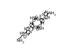 NCCCC(=O)Nc1ncnc2c1ncn2[C@@H]1O[C@@H]2CO[P@@](=O)(S)OC3[C@@H](F)[C@H](n4cnc5c(N)ncnc54)O[C@@H]3CO[P@@](=O)(S)OC2[C@H]1F